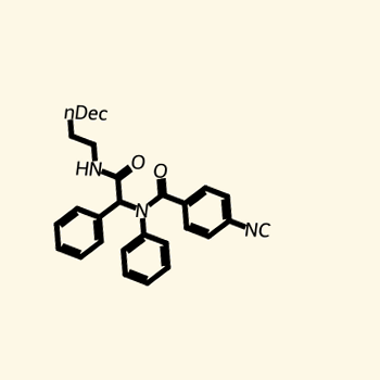 [C-]#[N+]c1ccc(C(=O)N(c2ccccc2)C(C(=O)NCCCCCCCCCCCC)c2ccccc2)cc1